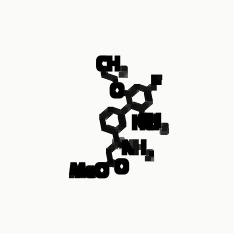 C=CCOc1cc(F)cc(C)c1-c1cccc([C@@H](N)CC(=O)OC)c1.Cl